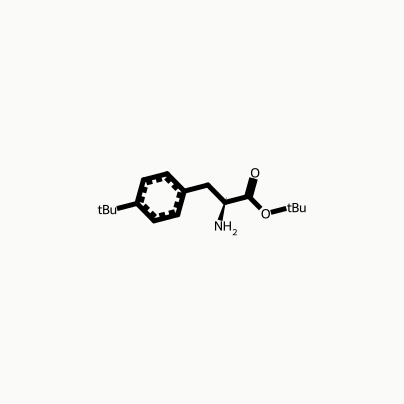 CC(C)(C)OC(=O)[C@@H](N)Cc1ccc(C(C)(C)C)cc1